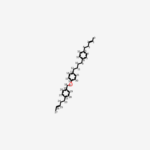 C/C=C/CCc1ccc(CCCCc2ccc(OCc3ccc(CC/C=C/C)cc3)cc2)cc1